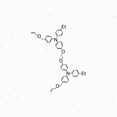 C=CCOCc1ccc(N(c2ccc(CC)cc2)c2ccc(OCCOc3ccc(N(c4ccc(CC)cc4)c4ccc(COCC=C)cc4)cc3)cc2)cc1